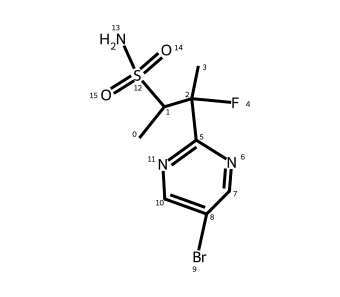 CC(C(C)(F)c1ncc(Br)cn1)S(N)(=O)=O